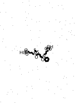 O=C1C(=CC=C2Oc3ccccc3N2CCCCS(=O)(=O)O)SC(=S)N1CCCCS(=O)(=O)O